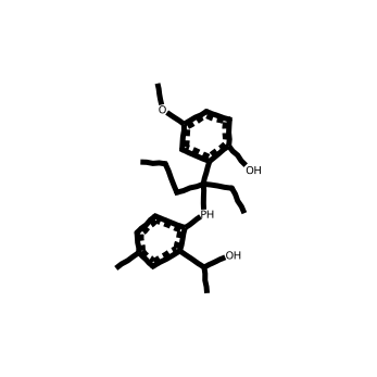 CCCC(CC)(Pc1ccc(C)cc1C(C)O)c1cc(OC)ccc1O